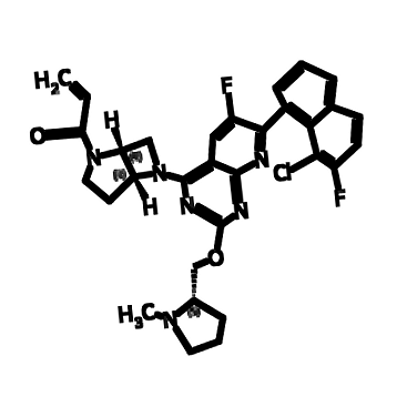 C=CC(=O)N1CC[C@@H]2[C@H]1CN2c1nc(OC[C@@H]2CCCN2C)nc2nc(-c3cccc4ccc(F)c(Cl)c34)c(F)cc12